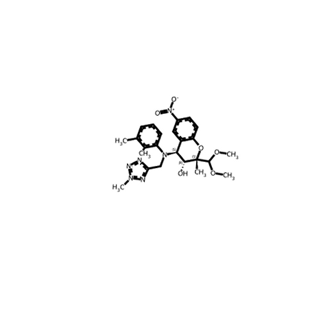 COC(OC)[C@@]1(C)Oc2ccc([N+](=O)[O-])cc2[C@H](N(Cc2nnn(C)n2)c2cccc(C)c2C)[C@H]1O